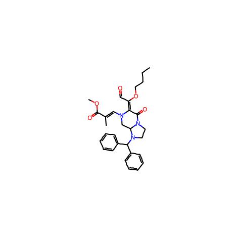 CCCCO/C(C=O)=C1\C(=O)N2CCN(C(c3ccccc3)c3ccccc3)C2CN1/C=C(\C)C(=O)OC